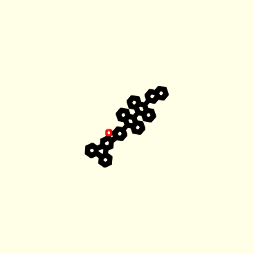 c1ccc2cc(-c3c4ccccc4c(-c4c5ccccc5c(-c5ccc6c(c5)oc5cc7c8ccccc8c8ccccc8c7cc56)c5ccccc45)c4ccccc34)ccc2c1